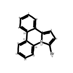 Brc1ccc2c3ccccc3c3ccccc3n12